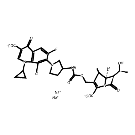 CC1C(COC(=O)NC2CCN(c3c(F)cc4c(=O)c(C(=O)[O-])cn(C5CC5)c4c3Cl)C2)=C(C(=O)[O-])N2C(=O)[C@H]([C@H](C)O)[C@H]12.[Na+].[Na+]